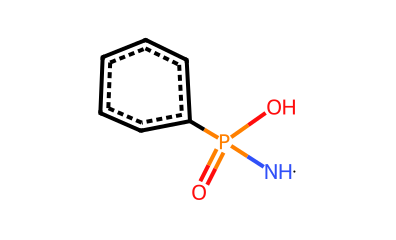 [NH]P(=O)(O)c1ccccc1